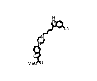 COC(=O)c1cc2cc(N3CCN(CCC=Cc4c[nH]c5ccc(C#N)cc45)CC3)ccc2o1